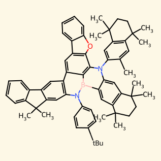 Cc1cc2c(cc1N1c3cc4c(cc3B3c5c(cc6c(oc7ccccc76)c51)-c1cc5c(cc1N3c1ccc(C(C)(C)C)cc1)C(C)(C)c1ccccc1-5)C(C)(C)CCC4(C)C)C(C)(C)CCC2(C)C